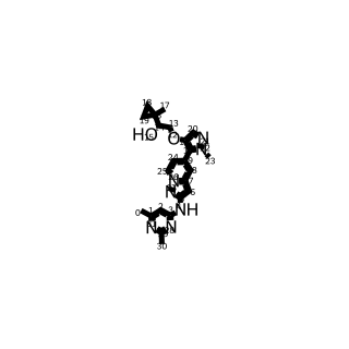 Cc1cc(Nc2cc3cc(-c4c(OC[C@@H](O)C5(C)CC5)cnn4C)ccn3n2)nc(C)n1